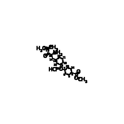 COC(=O)c1ccc(Oc2cccc(CC(N)C(=O)N(C)C)c2)cc1.Cl